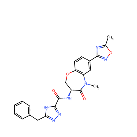 Cc1nc(-c2ccc3c(c2)N(C)C(=O)[C@@H](NC(=O)c2nnc(Cc4ccccc4)[nH]2)CO3)no1